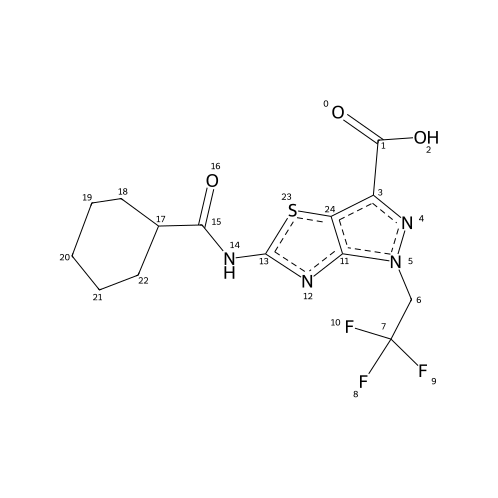 O=C(O)c1nn(CC(F)(F)F)c2nc(NC(=O)C3CCCCC3)sc12